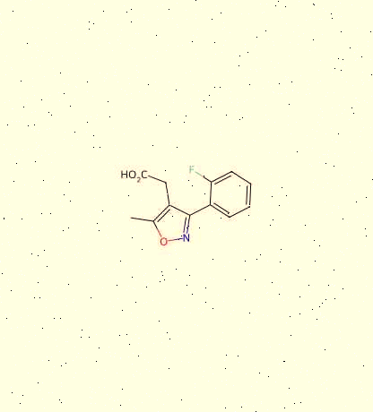 Cc1onc(-c2ccccc2F)c1CC(=O)O